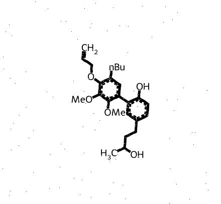 C=CCOc1c(CCCC)cc(-c2cc(CCC(C)O)ccc2O)c(OC)c1OC